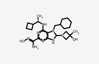 C[C@@H](Nc1nc(/C(N)=N/O)nc2c1N(CC1CCCCC1)C(N1CC(C)(O)C1)N2)C1CCC1